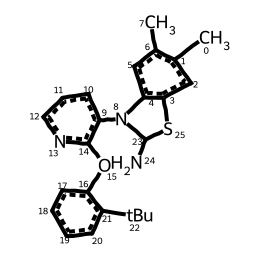 Cc1cc2c(cc1C)N(c1cccnc1Oc1ccccc1C(C)(C)C)C(N)S2